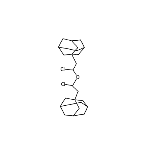 ClC(CC12CC3CC(CC(C3)C1)C2)OC(Cl)CC12CC3CC(CC(C3)C1)C2